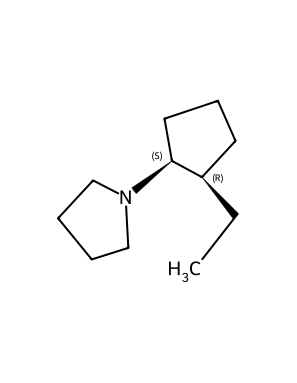 CC[C@@H]1CCC[C@@H]1N1CCCC1